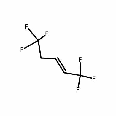 FC(F)(F)/C=C/CC(F)(F)F